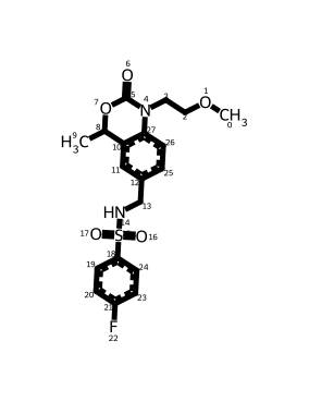 COCCN1C(=O)OC(C)c2cc(CNS(=O)(=O)c3ccc(F)cc3)ccc21